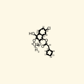 COc1c(OC)c(OC(=O)Cc2ccccc2)c2cc(Cl)ccc2c1O